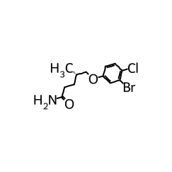 C[C@@H](CCC(N)=O)COc1ccc(Cl)c(Br)c1